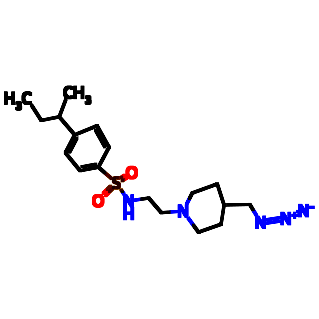 CCC(C)c1ccc(S(=O)(=O)NCCN2CCC(CN=[N+]=[N-])CC2)cc1